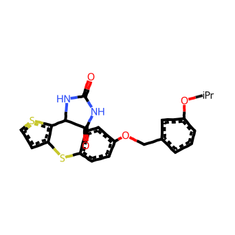 CC(C)Oc1cccc(COc2ccc(Sc3ccsc3C3NC(=O)NC3=O)cc2)c1